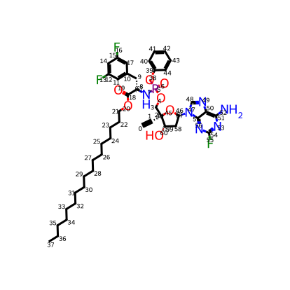 C#C[C@]1(COP(=O)(N[C@@H](Cc2cc(F)cc(F)c2)C(=O)OCCCCCCCCCCCCCCCCC)Oc2ccccc2)O[C@@H](n2cnc3c(N)nc(F)nc32)C[C@@H]1O